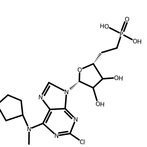 CN(c1nc(Cl)nc2c1ncn2[C@@H]1O[C@H](CCP(=O)(O)O)C(O)C1O)C1CCCC1